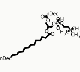 CCCCCCCCCCCCCCCCCCCCCCC(=O)OC(COC(=O)CCCCCCCCCC)COP(=O)(O)OCC[N+](C)(C)C